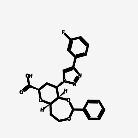 O=C(O)[C@H]1C[C@@H](n2cc(-c3cccc(F)c3)nn2)[C@H]2OC(c3ccccc3)OCC[C@H]2O1